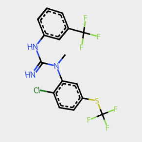 CN(C(=N)Nc1cccc(C(F)(F)F)c1)c1cc(SC(F)(F)F)ccc1Cl